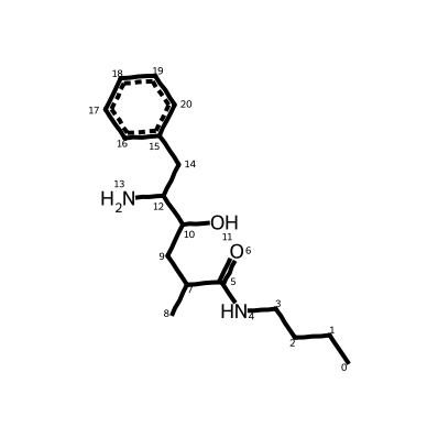 CCCCNC(=O)C(C)CC(O)C(N)Cc1ccccc1